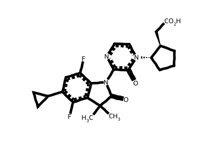 CC1(C)C(=O)N(c2nccn([C@H]3CCC[C@@H]3CC(=O)O)c2=O)c2c(F)cc(C3CC3)c(F)c21